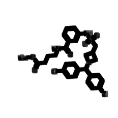 CC(C)(C)OC(=O)CCCNC(=O)c1cccc(NS(=O)(=O)CC2CN(C(c3ccc(Cl)cc3)c3ccc(Cl)cc3)C2)c1